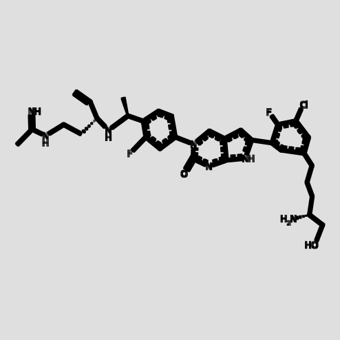 C=C[C@@H](CCNC(C)=N)N[C@@H](C)c1ccc(-n2cc3cc(-c4cc(CCC[C@@H](N)CO)cc(Cl)c4F)[nH]c3nc2=O)cc1F